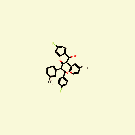 O=C(C(c1cccc(C(F)(F)F)c1)C(O)c1ccc(F)cc1)C(c1cccc(C(F)(F)F)c1)C(O)c1ccc(F)cc1